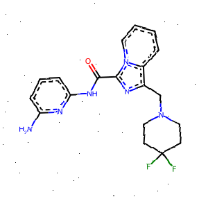 Nc1cccc(NC(=O)c2nc(CN3CCC(F)(F)CC3)c3ccccn23)n1